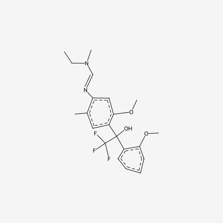 CCN(C)/C=N/c1cc(OC)c(C(O)(c2ccccc2OC)C(F)(F)F)cc1C